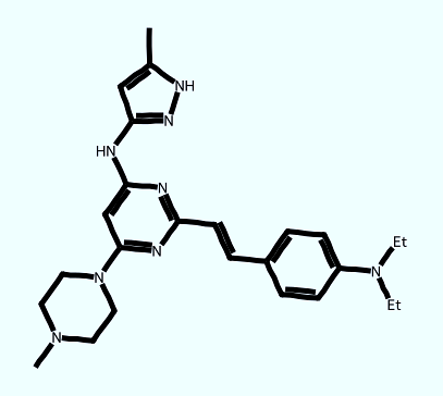 CCN(CC)c1ccc(/C=C/c2nc(Nc3cc(C)[nH]n3)cc(N3CCN(C)CC3)n2)cc1